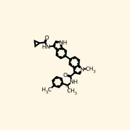 Cc1cccc([C@H](C)NC(=O)c2cn(C)c3ccc(-c4ccc5c(NC(=O)C6CC6)c[nH]c5c4)cc23)c1